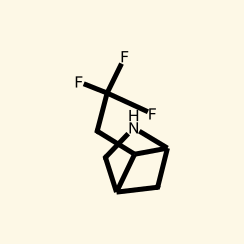 FC(F)(F)CC1C2CNC1C2